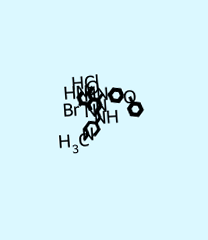 CN1CCC(Nc2nc(Nc3ccc(Oc4ccccc4)cc3)c3c(=O)[nH]cc(Br)c3n2)CC1.Cl